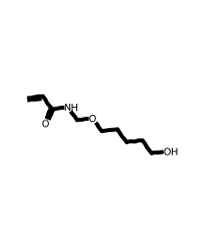 C=CC(=O)NCOCCCCCO